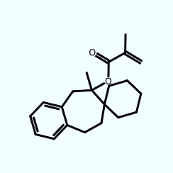 C=C(C)C(=O)OC1(C)Cc2ccccc2CCC12CCCCC2